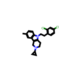 Cc1ccc2c(c1)c1c(n2CCc2ccc(Cl)cc2Cl)CCN(C2CC2)C1